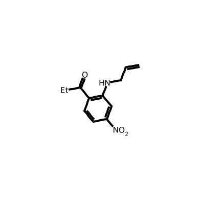 C=CCNc1cc([N+](=O)[O-])ccc1C(=O)CC